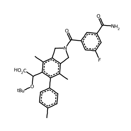 Cc1ccc(-c2c(C)c3c(c(C)c2C(OC(C)(C)C)C(=O)O)CN(C(=O)c2cc(F)cc(C(N)=O)c2)C3)cc1